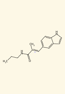 CCCNC(=O)/C(C)=C/c1ccc2[nH]ccc2c1